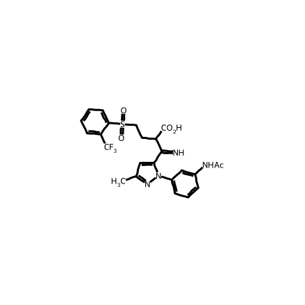 CC(=O)Nc1cccc(-n2nc(C)cc2C(=N)C(CCS(=O)(=O)c2ccccc2C(F)(F)F)C(=O)O)c1